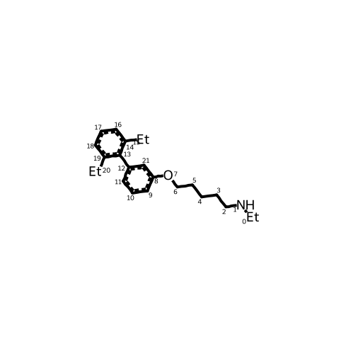 CCNCCCCCOc1cccc(-c2c(CC)cccc2CC)c1